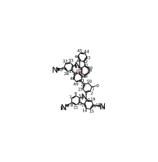 CC1C=C(n2c3ccc(C#N)cc3c3ccc(C#N)cc32)C=C(c2ccc(-c3cc(C#N)ccc3-n3c4ccccc4c4ccccc43)cc2)C1